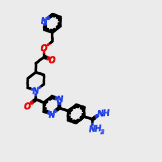 N=C(N)c1ccc(-c2ncc(C(=O)N3CCC(CC(=O)OCc4cccnc4)CC3)cn2)cc1